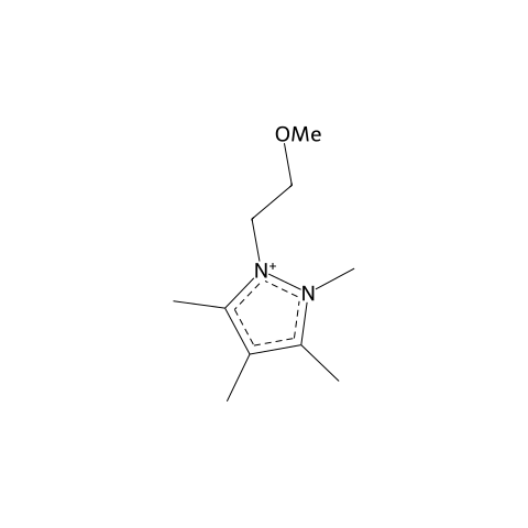 COCC[n+]1c(C)c(C)c(C)n1C